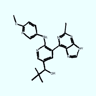 COc1ccc(Nc2ncc(C(O)C(C)(C)C)cc2-c2nc(C)nc3[nH]cnc23)cn1